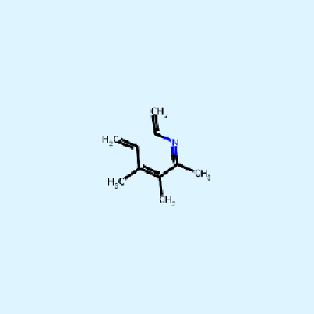 C=C/N=C(C)\C(C)=C(\C)C=C